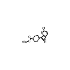 CC(C)(C)OC(=O)N1CCN(c2c[nH]c3ccc(Cl)nc23)CC1